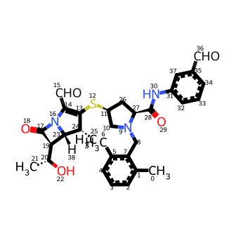 Cc1cccc(C)c1CN1C[C@@H](SC2=C(C=O)N3C(=O)[C@H]([C@@H](C)O)[C@H]3[C@H]2C)C[C@H]1C(=O)Nc1cccc(C=O)c1